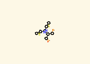 CP(C)c1cccc(-c2cc(-c3cccc(P(C)C)c3)cc(-c3nc(-c4ccc5c(c4)sc4ccccc45)cc(-c4ccc5c(c4)sc4ccccc45)n3)c2)c1